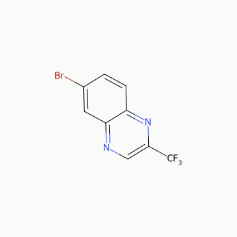 FC(F)(F)c1cnc2cc(Br)ccc2n1